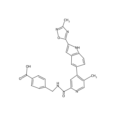 Cc1noc(-c2cc3cc(-c4cc(C(=O)NCc5ccc(C(=O)O)cc5)ncc4C)ccc3[nH]2)n1